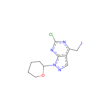 Clc1nc(CI)c2cnn(C3CCCCO3)c2n1